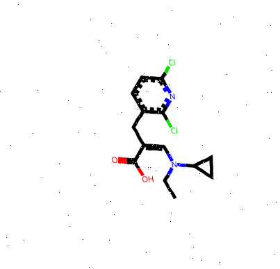 CCN(C=C(Cc1ccc(Cl)nc1Cl)C(=O)O)C1CC1